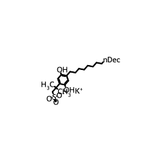 CCCCCCCCCCCCCCCCCCc1cc(O)c(C(C)(C)CS(=O)(=O)[O-])cc1O.[K+]